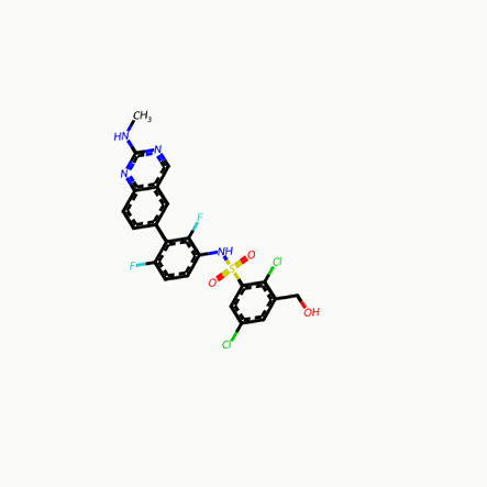 CNc1ncc2cc(-c3c(F)ccc(NS(=O)(=O)c4cc(Cl)cc(CO)c4Cl)c3F)ccc2n1